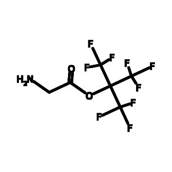 NCC(=O)OC(C(F)(F)F)(C(F)(F)F)C(F)(F)F